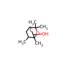 CC1CC2CC(O)C1(C)OC2(C)C